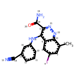 Cc1cc(I)cc2c(Nc3cccc(C#N)c3)c(C(N)=O)nnc12